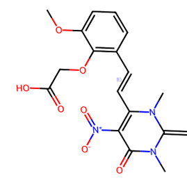 C=C1N(C)C(=O)C([N+](=O)[O-])=C(/C=C/c2cccc(OC)c2OCC(=O)O)N1C